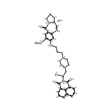 CCC(CN1CCN(CCCOc2cc3c(cc2OC)C(=O)N2CCC[C@H]2C=N3)CC1)N1C(=O)c2cccc3cccc(c23)C1=O